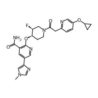 Cn1cnc(-c2cnc(O[C@@H]3CCN(C(=O)Cc4ccc(OC5CC5)cn4)C[C@@H]3F)c(C(N)=O)c2)c1